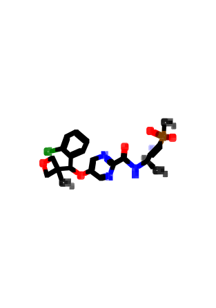 C[C@H](/C=C/S(C)(=O)=O)NC(=O)c1ncc(OC(c2ccccc2Cl)C2(C)COC2)cn1